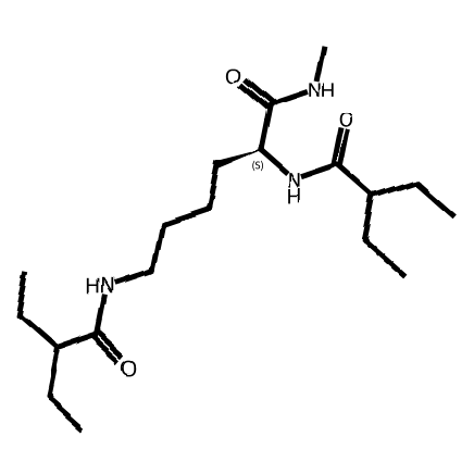 CCC(CC)C(=O)NCCCC[C@H](NC(=O)C(CC)CC)C(=O)NC